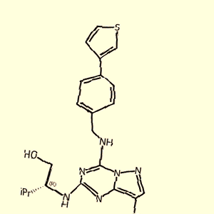 CC(C)c1cnn2c(NCc3ccc(-c4ccsc4)cc3)nc(N[C@@H](CO)C(C)C)nc12